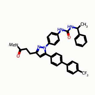 CNC(=O)CCc1cc(-c2ccc(-c3ccc(C(F)(F)F)cc3)cc2)n(-c2ccc(NC(=O)NC(C)c3ccccc3)cc2)n1